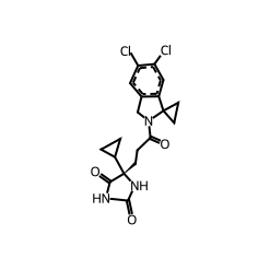 O=C1NC(=O)[C@](CCC(=O)N2Cc3cc(Cl)c(Cl)cc3C23CC3)(C2CC2)N1